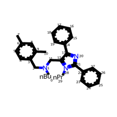 CCCCN(Cc1ccc(C)cc1C)Cc1c(-c2ccccc2)nc(-c2ccccc2)n1CCC